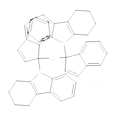 C1=C[C]([Zr+2][C]2(n3c4c(c5ccccc53)CCCC4)C=Cc3ccccc32)(n2c3c(c4ccccc42)CCCC3)c2ccccc21.[Cl-].[Cl-]